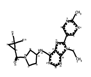 CCn1c(-c2cnc(C)nc2)nc2c(NC3CCN(C(=O)C4CC4(F)F)C3)ncnc21